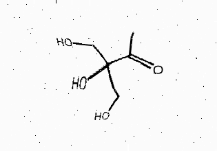 CC(=O)C(O)(CO)CO